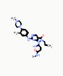 C=CCn1c(=O)c2cnc(Nc3ccc(N4CCN(C)CC4)c(C)c3)nc2n1C(=N)/C=C\C(=O)NC(C)C